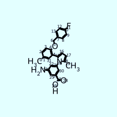 Cc1ccc(OCc2ccc(F)cc2)c(-c2ccc(C)n2-c2cc(N)cc(C(=O)O)c2)c1